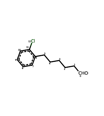 O=[C]CCCCCc1ccccc1Cl